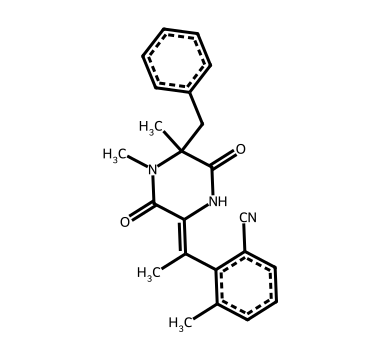 CC(=C1NC(=O)C(C)(Cc2ccccc2)N(C)C1=O)c1c(C)cccc1C#N